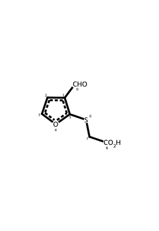 O=Cc1ccoc1SCC(=O)O